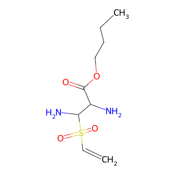 C=CS(=O)(=O)C(N)C(N)C(=O)OCCCC